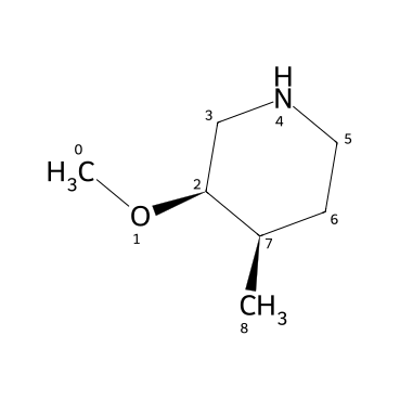 CO[C@H]1CNCC[C@H]1C